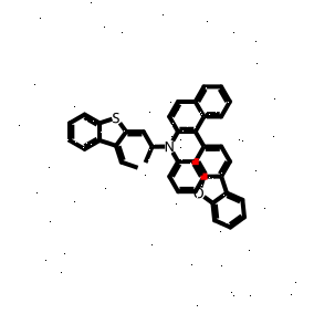 C/C=c1\c(=C/C(C)N(c2ccccc2)c2ccc3ccccc3c2-c2ccc3c(c2)oc2ccccc23)sc2ccccc12